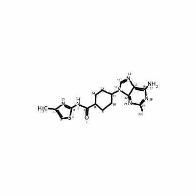 Cc1csc(NC(=O)C2CCC(n3cnc4c(N)nc(I)nc43)CC2)n1